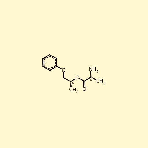 C[C@H](N)C(=O)O[C@@H](C)COc1ccccc1